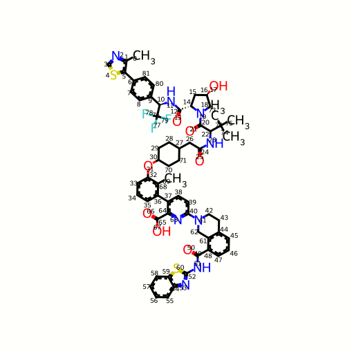 Cc1ncsc1-c1ccc([C@@H](NC(=O)[C@@H]2C[C@@H](O)CN2C(=O)C(NC(=O)CC2CCC(Oc3cccc(-c4ccc(N5CCc6cccc(C(=O)Nc7nc8ccccc8s7)c6C5)nc4C(=O)O)c3C)CC2)C(C)(C)C)C(F)(F)F)cc1